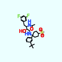 CC(=O)NC(Cc1cc(F)cc(F)c1)C(O)CNC1(c2cccc(C(C)(C)C)c2)CCC(S(C)(=O)=O)CC1